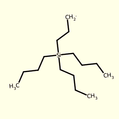 [CH2]CC[Si](CCCC)(CCCC)CCCC